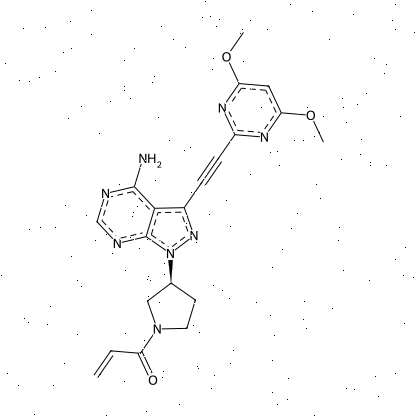 C=CC(=O)N1CC[C@H](n2nc(C#Cc3nc(OC)cc(OC)n3)c3c(N)ncnc32)C1